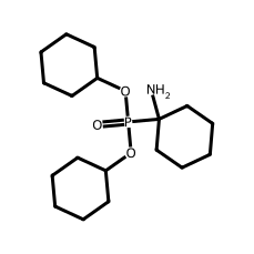 NC1(P(=O)(OC2CCCCC2)OC2CCCCC2)CCCCC1